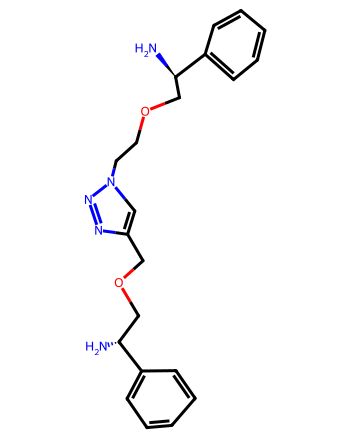 N[C@H](COCCn1cc(COC[C@@H](N)c2ccccc2)nn1)c1ccccc1